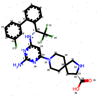 Nc1nc(N[C@H](c2ccccc2-c2cccc(F)c2)C(F)(F)F)cc(N2CCC3(CC2)CN[C@H](C(=O)O)C3)n1